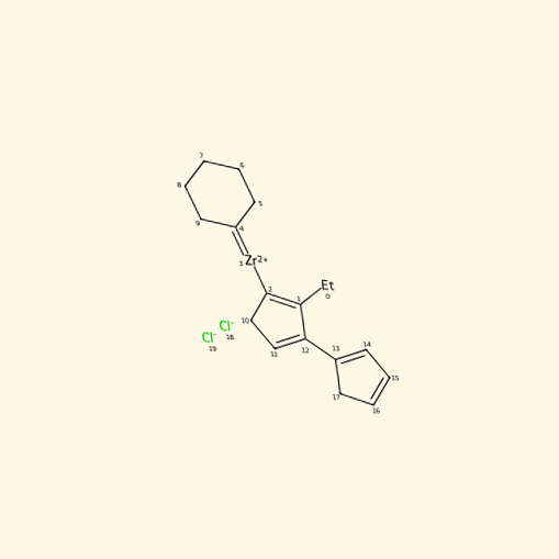 CCC1=[C]([Zr+2]=[C]2CCCCC2)CC=C1C1=CC=CC1.[Cl-].[Cl-]